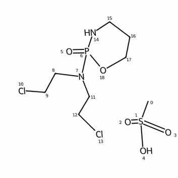 CS(=O)(=O)O.O=P1(N(CCCl)CCCl)NCCCO1